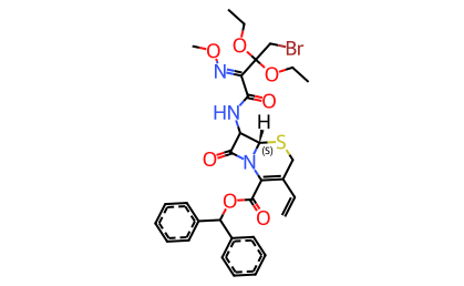 C=CC1=C(C(=O)OC(c2ccccc2)c2ccccc2)N2C(=O)C(NC(=O)C(=NOC)C(CBr)(OCC)OCC)[C@@H]2SC1